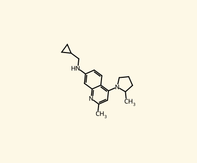 Cc1cc(N2CCCC2C)c2ccc(NCC3CC3)cc2n1